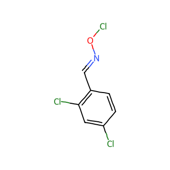 ClON=Cc1ccc(Cl)cc1Cl